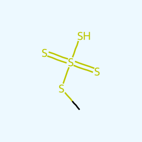 CSS(=S)(=S)S